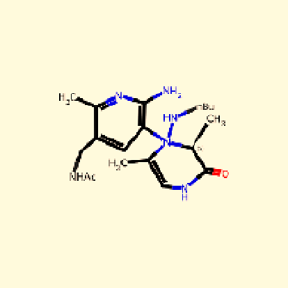 CCCCN[N+]1(c2cc(CNC(C)=O)c(C)nc2N)C(C)=CNC(=O)[C@@H]1C